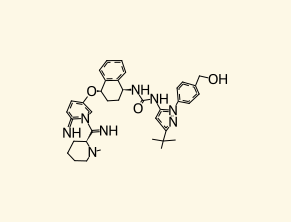 CN1CCCC[C@H]1C(=N)n1cc(O[C@@H]2CC[C@H](NC(=O)Nc3cc(C(C)(C)C)nn3-c3ccc(CO)cc3)c3ccccc32)ccc1=N